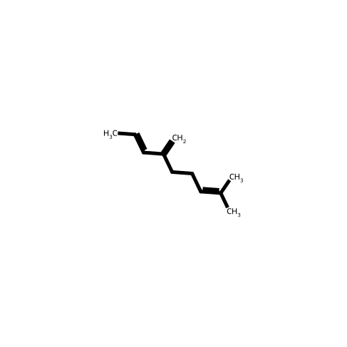 C=C(/C=C/C)CCC=C(C)C